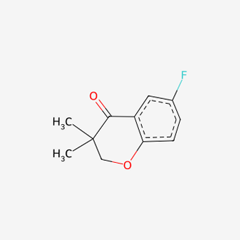 CC1(C)COc2ccc(F)cc2C1=O